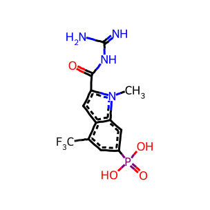 Cn1c(C(=O)NC(=N)N)cc2c(C(F)(F)F)cc(P(=O)(O)O)cc21